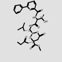 CCC(=O)C[C@@]1(C(=O)OC)CC(=O)OB([C@H](CC(C)C)NC(=O)C(NC(=O)c2cccc(-c3ccccc3)n2)[C@@H](C)O)O1